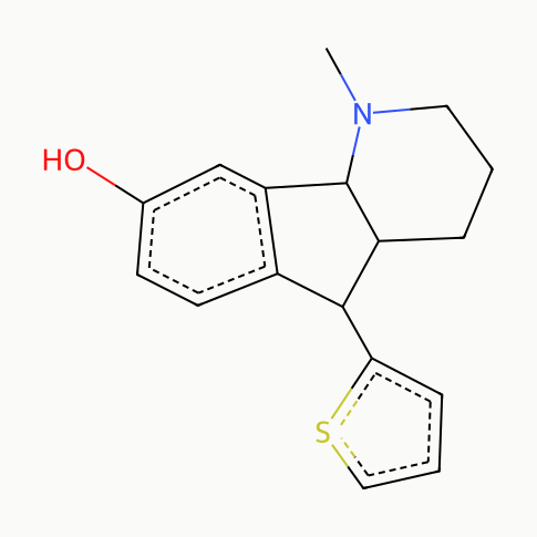 CN1CCCC2C(c3cccs3)c3ccc(O)cc3C21